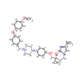 CC1(COc2ccc(N3CCN(Cc4ccc(Oc5ccc(OC(F)(F)F)cc5)cc4)CC3)cc2)CCn2cc([N+](=O)[O-])nc2O1